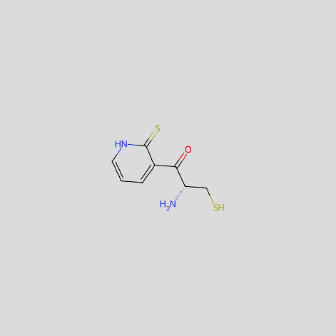 N[C@@H](CS)C(=O)c1ccc[nH]c1=S